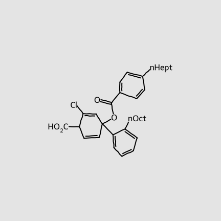 CCCCCCCCc1ccccc1C1(OC(=O)c2ccc(CCCCCCC)cc2)C=CC(C(=O)O)C(Cl)=C1